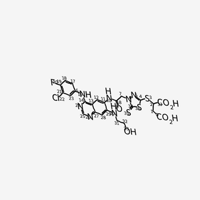 O=C(O)CC(Sc1nn(CC(=O)Nc2cc3c(Nc4ccc(F)c(Cl)c4)ncnc3cc2NCCO)c(=S)s1)C(=O)O